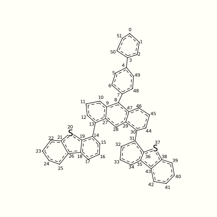 c1ccc(-c2ccc(-c3c4cccc(-c5cccc6c5sc5ccccc56)c4cc4c(-c5cccc6c5sc5ccccc56)cccc34)cc2)cc1